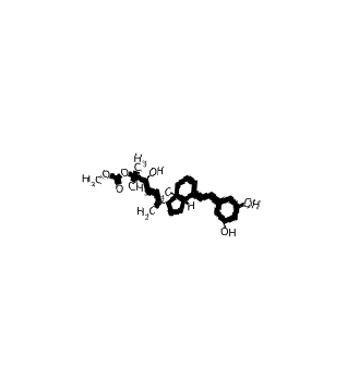 C=C(/C=C/[C@@H](O)C(C)(C)OC(=O)OC)[C@H]1CC[C@H]2/C(=C/C=C3C[C@@H](O)C[C@H](O)C3)CCC[C@]12C